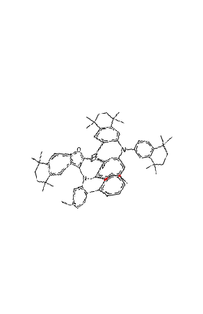 Cc1ccc(-c2ccccc2)c(N2c3cc(C)cc4c3B(c3cc5c(cc3N4c3ccc4c(c3)C(C)(C)CCC4(C)C)C(C)(C)CCC5(C)C)c3oc4cc5c(cc4c32)C(C)(C)CCC5(C)C)c1